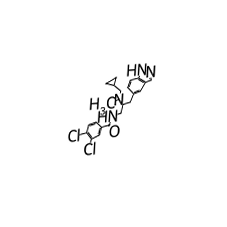 CN(CC1CC1)C(CNC(=O)c1ccc(Cl)c(Cl)c1)Cc1ccc2[nH]ncc2c1